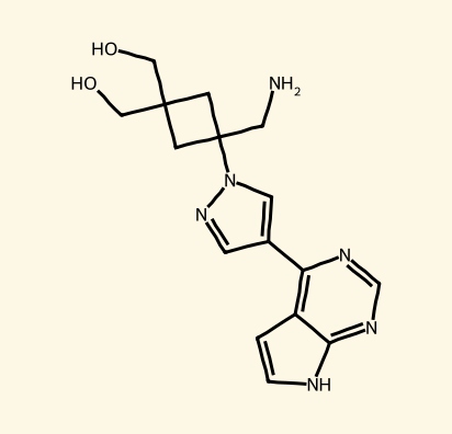 NCC1(n2cc(-c3ncnc4[nH]ccc34)cn2)CC(CO)(CO)C1